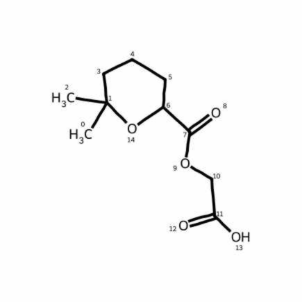 CC1(C)CCCC(C(=O)OCC(=O)O)O1